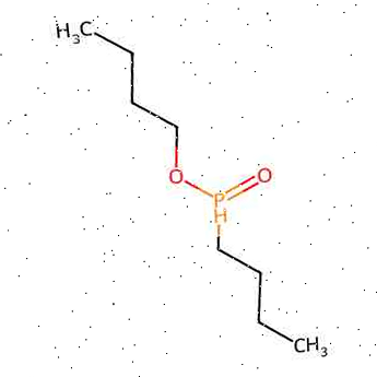 CCCCO[PH](=O)CCCC